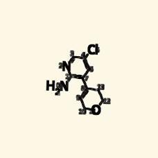 Nc1ncc(Cl)cc1C1=CCOCC1